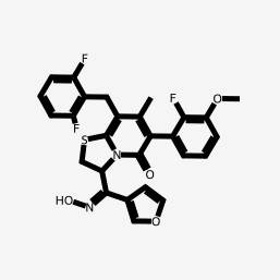 COc1cccc(-c2c(C)c(Cc3c(F)cccc3F)c3n(c2=O)C(/C(=N\O)c2ccoc2)CS3)c1F